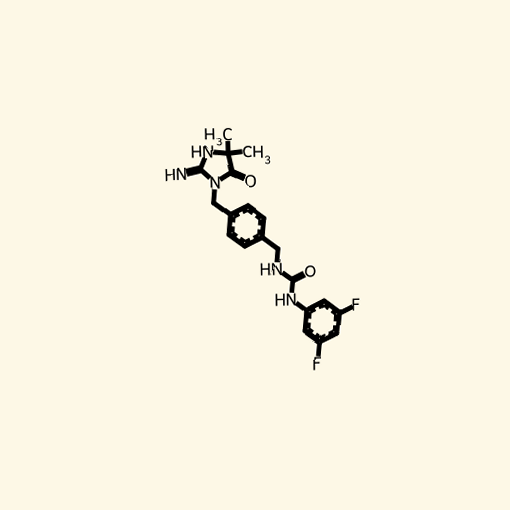 CC1(C)NC(=N)N(Cc2ccc(CNC(=O)Nc3cc(F)cc(F)c3)cc2)C1=O